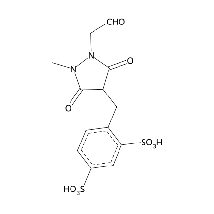 CN1C(=O)C(Cc2ccc(S(=O)(=O)O)cc2S(=O)(=O)O)C(=O)N1CC=O